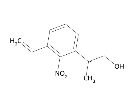 C=Cc1cccc([C](C)CO)c1[N+](=O)[O-]